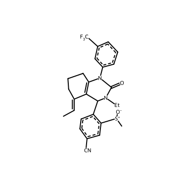 CC=C1CCCC2=C1C(c1ccc(C#N)cc1[S+](C)[O-])N(CC)C(=O)N2c1cccc(C(F)(F)F)c1